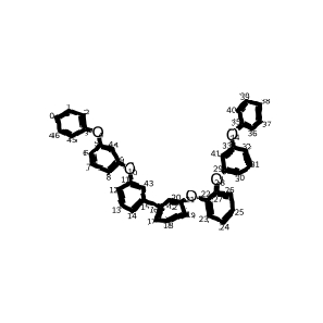 c1ccc(Oc2cccc(Oc3cccc(-c4cccc(Oc5ccccc5Oc5cccc(Oc6ccccc6)c5)c4)c3)c2)cc1